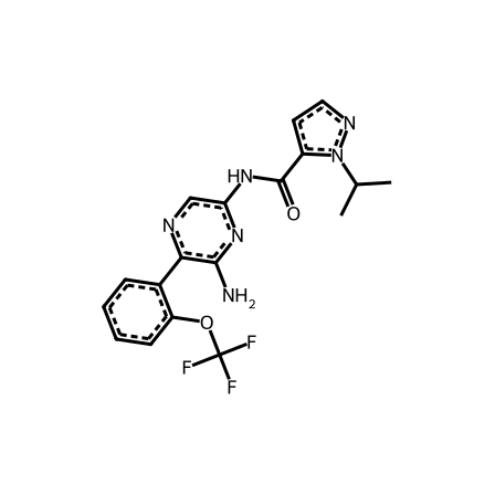 CC(C)n1nccc1C(=O)Nc1cnc(-c2ccccc2OC(F)(F)F)c(N)n1